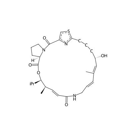 CC1=C\[C@@H](O)CCCc2nc(cs2)C(=O)N2CCC[C@@H]2C(=O)O[C@H](C(C)C)[C@H](C)/C=C/C(=O)NC\C=C\1